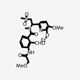 CCOc1nc(C(CS(C)(=O)=O)N(C)C(=O)c2cccc(NC(=O)COC)c2C=O)ccc1OC